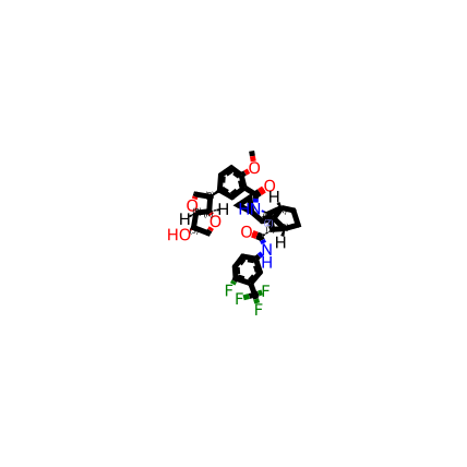 COc1ccc([C@@H]2CO[C@H]3[C@@H]2OC[C@@H]3O)cc1C(=O)N[C@H]1[C@@H](C(=O)Nc2ccc(F)c(C(F)(F)F)c2)[C@H]2CC[C@@H]1/C2=C\C1CC1